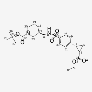 CCOC(=O)[C@@H]1C[C@H]1c1ccc(S(=O)(=O)NC[C@@H]2CCCN(C(=O)OC(C)(C)C)C2)cc1